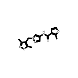 Cc1noc(C)c1Cn1cc(NC(=O)c2ccoc2C)cn1